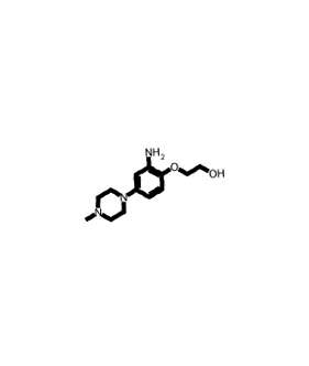 CN1CCN(c2ccc(OCCO)c(N)c2)CC1